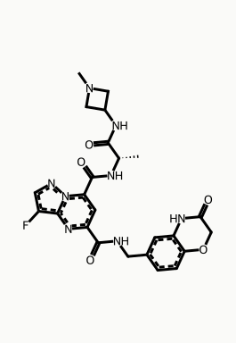 C[C@H](NC(=O)c1cc(C(=O)NCc2ccc3c(c2)NC(=O)CO3)nc2c(F)cnn12)C(=O)NC1CN(C)C1